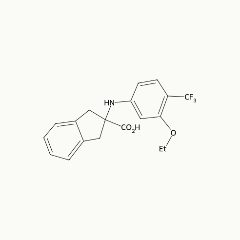 CCOc1cc(NC2(C(=O)O)Cc3ccccc3C2)ccc1C(F)(F)F